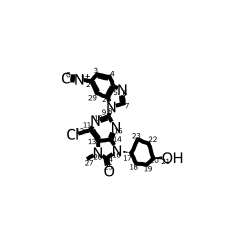 [C-]#[N+]c1ccc2ncn(-c3nc(Cl)c4c(n3)n([C@H]3CC[C@H](O)CC3)c(=O)n4C)c2c1